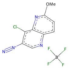 COc1ccc2ncc([N+]#N)c(Cl)c2n1.F[B-](F)(F)F